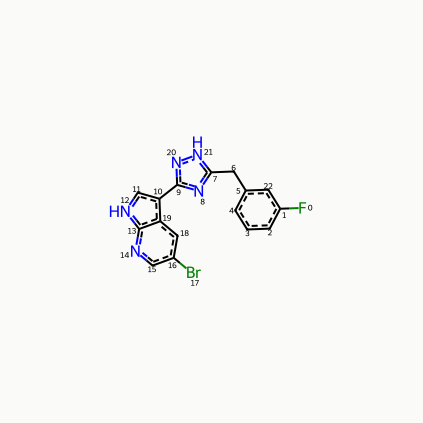 Fc1cccc(Cc2nc(-c3c[nH]c4ncc(Br)cc34)n[nH]2)c1